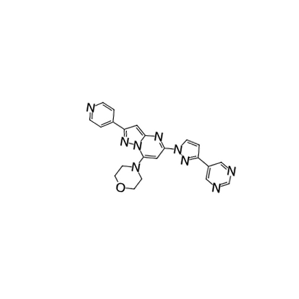 c1cc(-c2cc3nc(-n4ccc(-c5cncnc5)n4)cc(N4CCOCC4)n3n2)ccn1